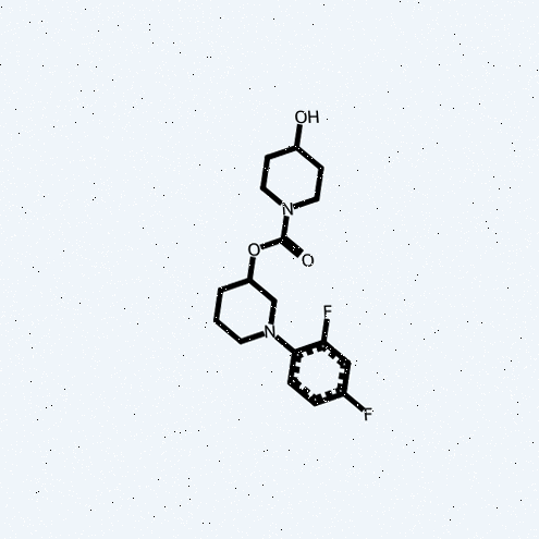 O=C(OC1CCCN(c2ccc(F)cc2F)C1)N1CCC(O)CC1